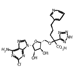 Nc1nc(Cl)nc2c1ncn2[C@@H]1O[C@H](COC(CCCc2cccnc2)(C(=O)O)c2nn[nH]n2)[C@@H](O)[C@H]1O